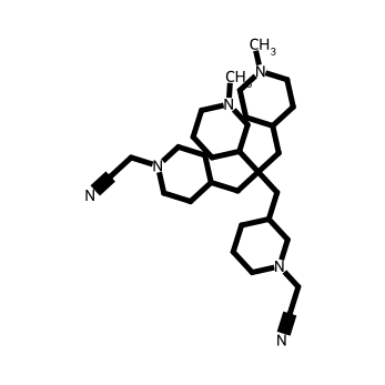 CN1CCC(CC(CC2CCN(CC#N)CC2)(CC2CCCN(CC#N)C2)C2CCCN(C)C2)CC1